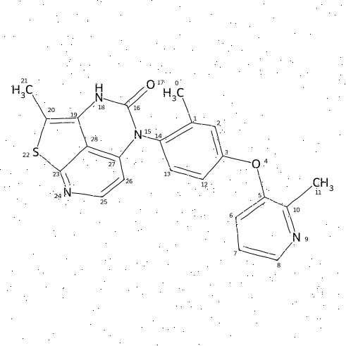 Cc1cc(Oc2cccnc2C)ccc1N1C(=O)Nc2c(C)sc3nccc1c23